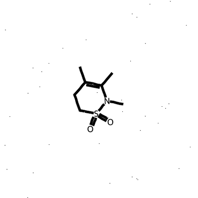 CC1=C(C)N(C)S(=O)(=O)CC1